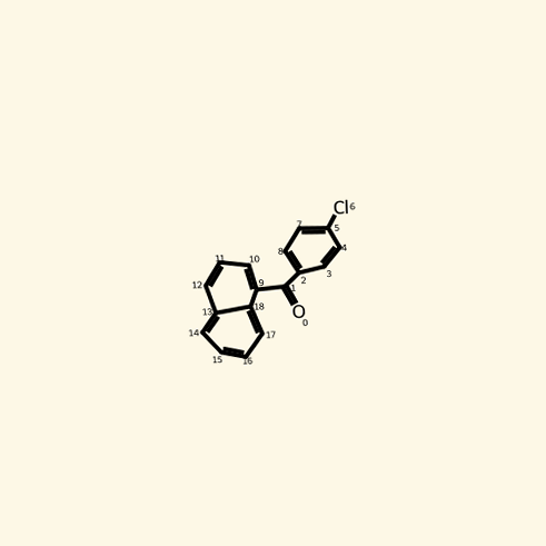 O=C(c1ccc(Cl)cc1)c1cccc2ccccc12